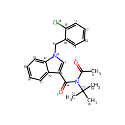 CC(=O)N(C(=O)c1cn(Cc2ccccc2Cl)c2ccccc12)C(C)(C)C